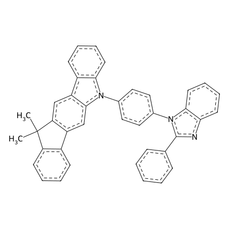 CC1(C)c2ccccc2-c2cc3c(cc21)c1ccccc1n3-c1ccc(-n2c(-c3ccccc3)nc3ccccc32)cc1